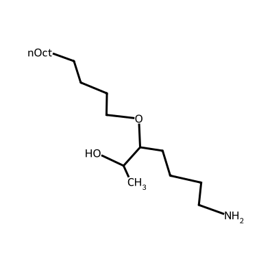 CCCCCCCCCCCCOC(CCCCN)C(C)O